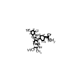 CC(CO)Nc1ncc2nc(Nc3c(Cl)cc(C#N)cc3Cl)n(C3CCC(C(N)=O)CC3)c2n1